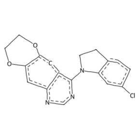 Clc1ccc2c(c1)N(c1ncnc3cc4c(cc13)OCCO4)CC2